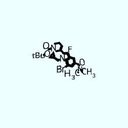 CN(C)C(=O)c1cc(Br)c2c(c1)c(F)c(C1=CCCN(C(=O)OC(C)(C)C)C1)n2CC1CC1